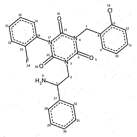 NC(Cn1c(=O)n(Cc2ccccc2Cl)c(=O)n(-c2ccccc2F)c1=O)c1ccccc1